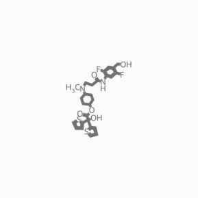 CN(CCC(=O)Nc1cc(F)c(CO)cc1F)C1CCC(OC(=O)C(O)(c2cccs2)c2cccs2)CC1